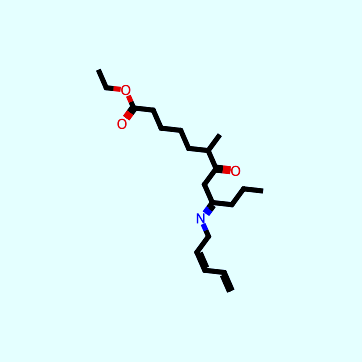 C=C/C=C\C/N=C(\CCC)CC(=O)C(C)CCCCC(=O)OCC